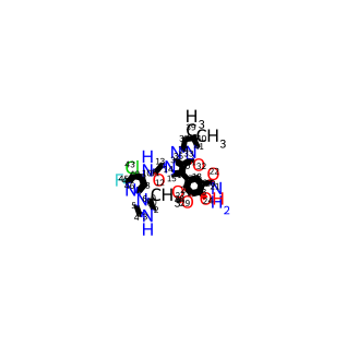 C[C@H]1CNCCN1c1cc(NC(=O)Cn2cc(-c3cc(C(N)=O)c(O)c4c3OCO4)c3c(=O)n4c(nc32)CC(C)(C)C4)c(Cl)c(F)n1